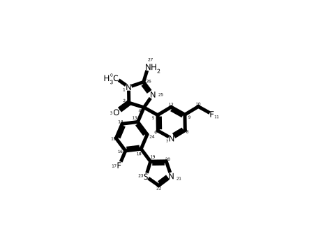 CN1C(=O)C(c2cncc(CF)c2)(c2ccc(F)c(-c3cncs3)c2)N=C1N